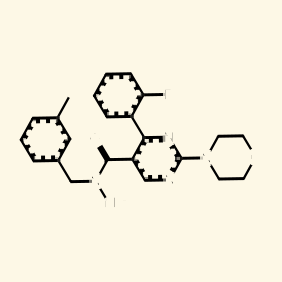 CCCN(Cc1cccc(C)c1)C(=O)c1cnc(N2CCOCC2)nc1-c1ccccc1F